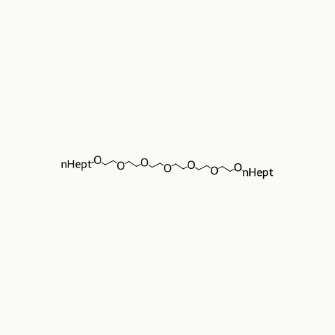 CCCCCCCOCCOCCOCCOCCOCCOCCOCCCCCCC